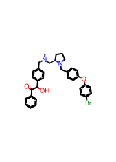 CN(Cc1ccc(C(O)C(=O)c2ccccc2)cc1)C[C@H]1CCCN1Cc1ccc(Oc2ccc(Br)cc2)cc1